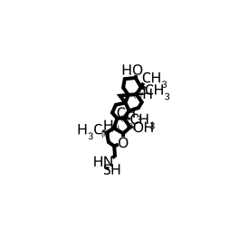 C[C@@H]1CC(CNS)OC2[C@H]1C1(C)CCC34CC35CCC(O)C(C)(C)[C@@H]5CCC4[C@]1(C)[C@H]2O